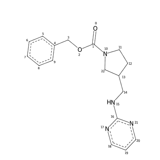 O=C(OCc1ccccc1)N1CCC(CNc2ncccn2)C1